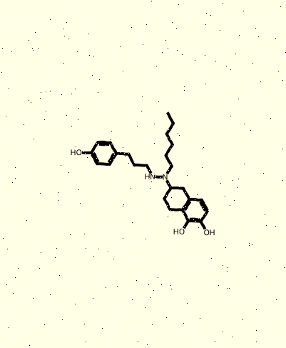 CCCCCCN(NCCCc1ccc(O)cc1)C1CCc2c(ccc(O)c2O)C1